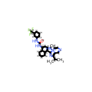 CN[N+]12C=CN=CC1=C(C(C)C)N=C2c1ccc(NC(=O)Nc2cccc(C(F)(F)F)c2)c2ccccc12